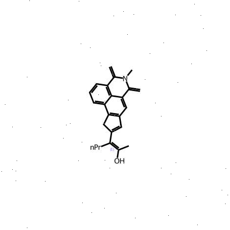 C=C1c2cccc3c4c(cc(c23)C(=C)N1C)C=C(/C(CCC)=C(\C)O)C4